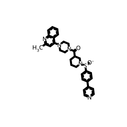 Cc1cc(N2CCN(C(=O)C3CCCN([S+]([O-])c4ccc(-c5ccncc5)cc4)C3)CC2)c2ccccc2n1